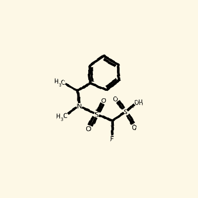 CC(c1ccccc1)N(C)S(=O)(=O)C(F)S(=O)(=O)O